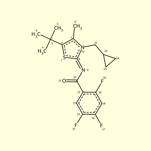 Cc1c(C(C)(C)C)s/c(=N\C(=O)c2cc(F)c(F)cc2F)n1CC1CC1